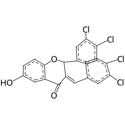 O=C1/C(=C/c2ccc(Cl)c(Cl)c2)C(c2ccc(Cl)c(Cl)c2)Oc2ccc(O)cc21